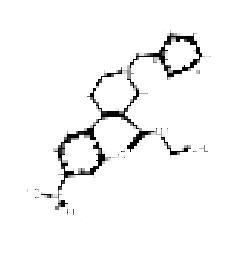 CCOC(=O)C1=C(c2ccc([N+](=O)[O-])cc2)CCN(Cc2ccccc2)C1